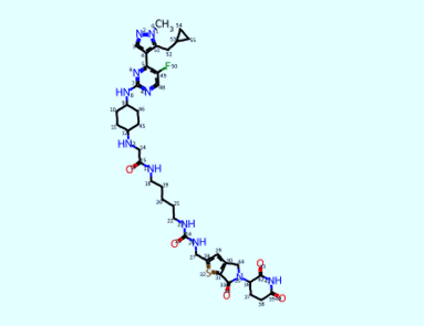 Cn1ncc(-c2nc(NC3CCC(NCC(=O)NCCCCCNC(=O)NCc4cc5c(s4)C(=O)N(C4CCC(=O)NC4=O)C5)CC3)ncc2F)c1CC1CC1